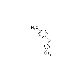 Cc1cnc(OC2CN(C)C2)cn1